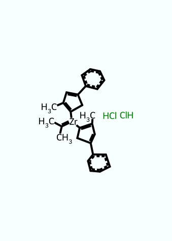 CC1=[C]([Zr]([C]2=C(C)C=C(c3ccccc3)C2)=[C](C)C)CC(c2ccccc2)=C1.Cl.Cl